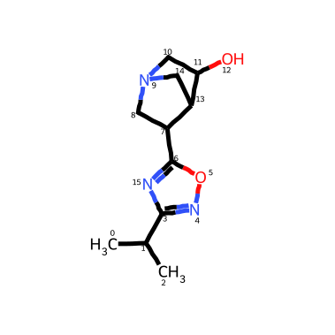 CC(C)c1noc(C2CN3CC(O)C2C3)n1